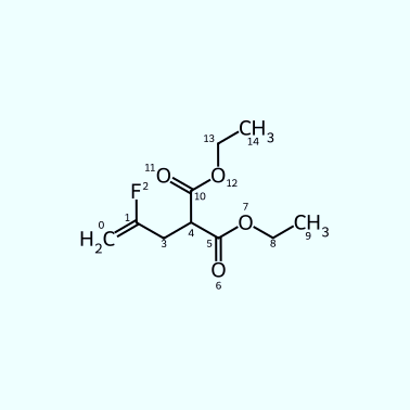 C=C(F)CC(C(=O)OCC)C(=O)OCC